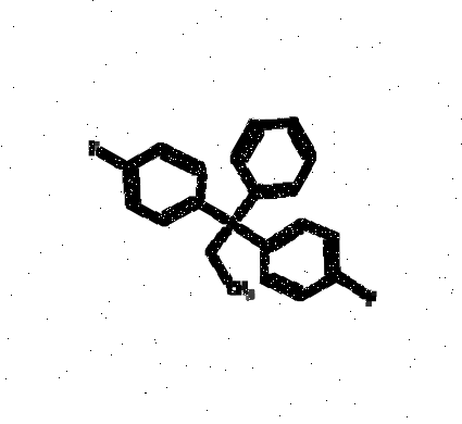 CCS(c1ccccc1)(c1ccc(F)cc1)c1ccc(F)cc1